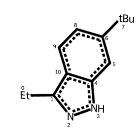 CCc1n[nH]c2cc(C(C)(C)C)ccc12